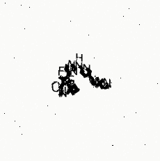 Cc1c(-c2nc(Nc3ccc(N4CCC5(CCN(C)C5)C4)cn3)ncc2F)sc2c1C(=O)N(C)CC21CCC1